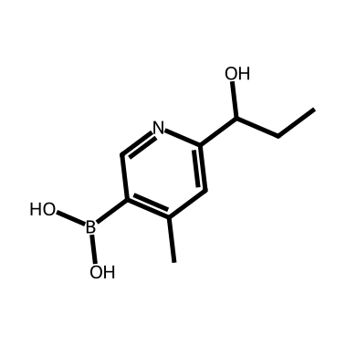 CCC(O)c1cc(C)c(B(O)O)cn1